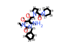 CCn1c(=O)c(C(=O)CN2CCCC2C(=O)N2CCCCC2)c(N)n(Cc2ccccc2)c1=O